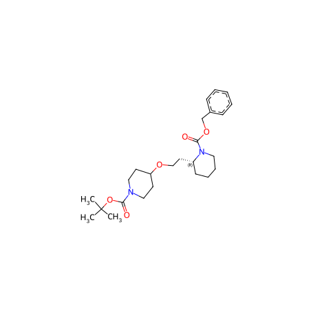 CC(C)(C)OC(=O)N1CCC(OCC[C@H]2CCCCN2C(=O)OCc2ccccc2)CC1